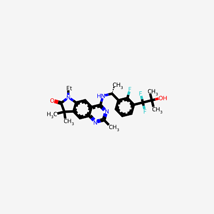 CCN1C(=O)C(C)(C)c2cc3nc(C)nc(N[C@H](C)c4cccc(C(F)(F)C(C)(C)O)c4F)c3cc21